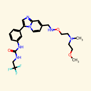 COCCN(C)CCONCc1ccn2c(-c3cccc(NC(=O)NCC(F)(F)F)c3)cnc2c1